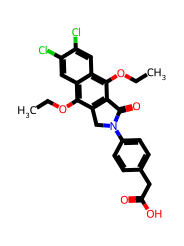 CCOc1c2c(c(OCC)c3cc(Cl)c(Cl)cc13)C(=O)N(c1ccc(CC(=O)O)cc1)C2